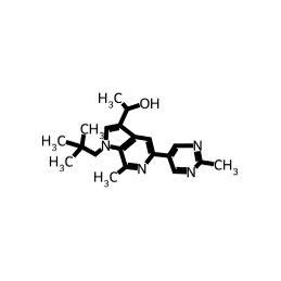 Cc1ncc(-c2cc3c(C(C)O)cn(CC(C)(C)C)c3c(C)n2)cn1